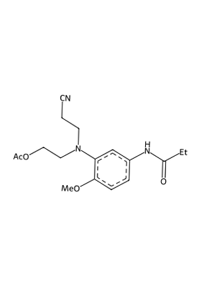 CCC(=O)Nc1ccc(OC)c(N(CCC#N)CCOC(C)=O)c1